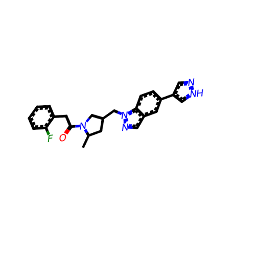 CC1CC(Cn2ncc3cc(-c4cn[nH]c4)ccc32)CN1C(=O)Cc1ccccc1F